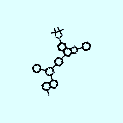 CC1(C)OB(c2ccc3c(-c4ccc(-c5nc(-c6ccccc6)nc(-c6cccc7c(Br)cccc67)n5)cc4)cc4nc(-c5ccccc5)sc4c3c2)OC1(C)C